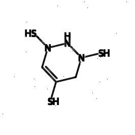 SC1=CN(S)NN(S)C1